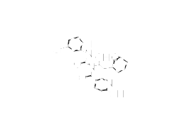 Cc1ccc(C(=O)N(C(=O)Nc2cccc(Cl)c2)C(C=O)Cc2ccccc2)cn1